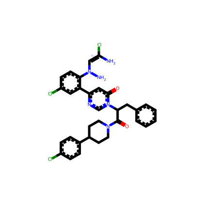 N/C(Cl)=C\N(N)c1ccc(Cl)cc1-c1cc(=O)n(C(Cc2ccccc2)C(=O)N2CCC(c3ccc(Cl)cc3)CC2)cn1